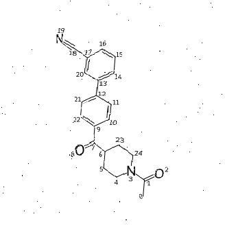 CC(=O)N1CCC(C(=O)c2ccc(-c3cccc(C#N)c3)cc2)CC1